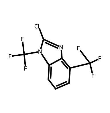 FC(F)(F)c1cccc2c1nc(Cl)n2C(F)(F)F